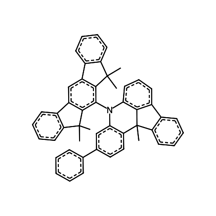 CC1(C)c2ccccc2-c2cc3c(c(N4c5cc(-c6ccccc6)ccc5C5(C)c6ccccc6-c6cccc4c65)c21)C(C)(C)c1ccccc1-3